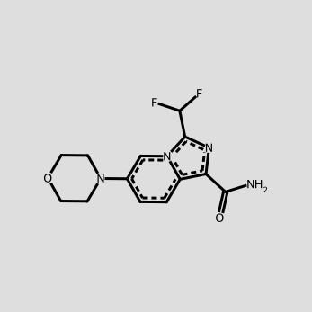 NC(=O)c1nc(C(F)F)n2cc(N3CCOCC3)ccc12